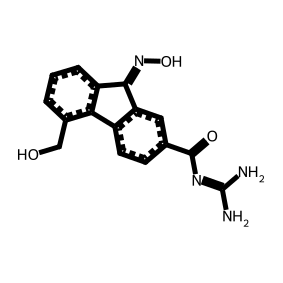 NC(N)=NC(=O)c1ccc2c(c1)C(=NO)c1cccc(CO)c1-2